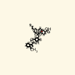 Cn1cc(C(=O)Nc2cc(F)c(CC(=O)C(O[C@H]3CC[C@H](C(=O)O)CC3)(N3CCCC3)N3CCN(CCF)CC3)cc2Cl)c2ccccc21